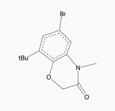 CN1C(=O)COc2c1cc(Br)cc2C(C)(C)C